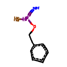 N=[PH](S)OCc1ccccc1